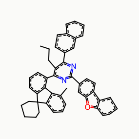 CCCc1c(-c2ccc3ccccc3c2)nc(-c2ccc3c(c2)oc2ccccc23)nc1-c1cccc2c1-c1c(C)cccc1C21CCCCC1